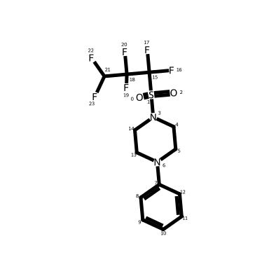 O=S(=O)(N1CCN(c2ccccc2)CC1)C(F)(F)C(F)(F)C(F)F